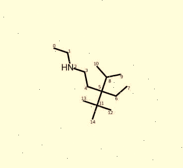 CCNCCC(CC)(C(C)C)C(C)(C)C